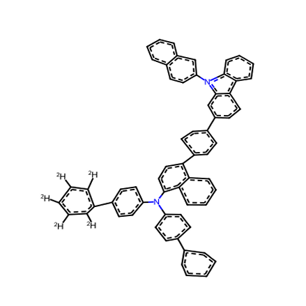 [2H]c1c([2H])c([2H])c(-c2ccc(N(c3ccc(-c4ccccc4)cc3)c3ccc(-c4ccc(-c5ccc6c7ccccc7n(-c7ccc8ccccc8c7)c6c5)cc4)c4ccccc34)cc2)c([2H])c1[2H]